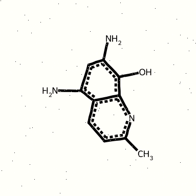 Cc1ccc2c(N)cc(N)c(O)c2n1